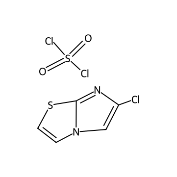 Clc1cn2ccsc2n1.O=S(=O)(Cl)Cl